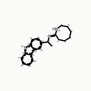 CC(N=C1CCCCCCN1)c1ccc2sc3ccccc3c2c1